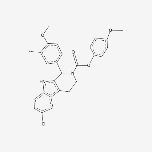 COc1ccc(OC(=O)N2CCc3c([nH]c4ccc(Cl)cc34)C2c2ccc(OC)c(F)c2)cc1